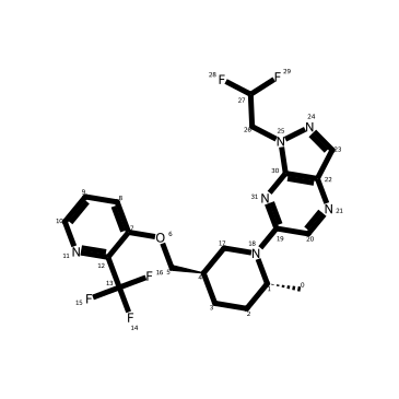 C[C@@H]1CC[C@@H](COc2cccnc2C(F)(F)F)CN1c1cnc2cnn(CC(F)F)c2n1